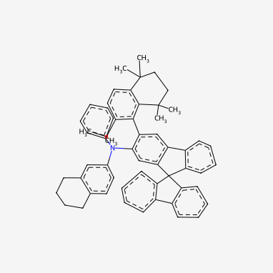 CC(C)c1ccc2c(c1-c1cc3c(cc1N(c1ccccc1)c1ccc4c(c1)CCCC4)C1(c4ccccc4-c4ccccc41)c1ccccc1-3)C(C)(C)CCC2(C)C